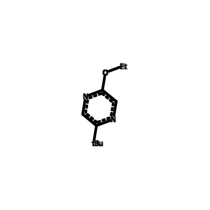 CCOc1cnc(C(C)(C)C)cn1